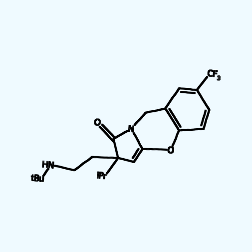 CC(C)C1(CCNC(C)(C)C)C=C2Oc3ccc(C(F)(F)F)cc3CN2C1=O